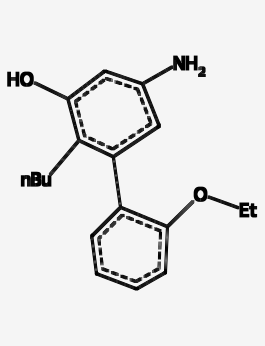 CCCCc1c(O)cc(N)cc1-c1ccccc1OCC